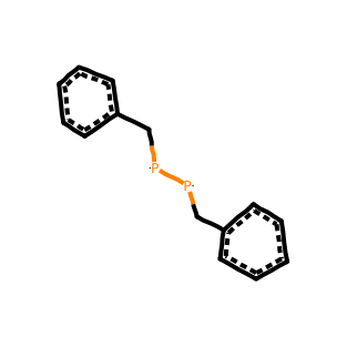 c1ccc(C[P][P]Cc2ccccc2)cc1